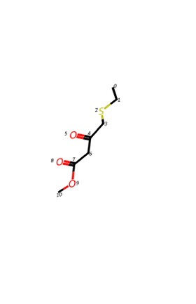 CCSCC(=O)CC(=O)OC